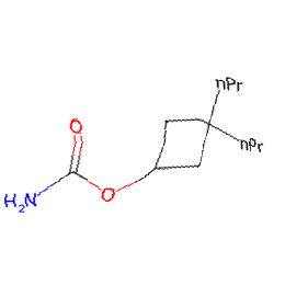 CCCC1(CCC)CC(OC(N)=O)C1